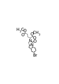 COC(=O)CCC(C(=O)OC)N1Cc2cc3cc(Br)ccc3n2C1=O